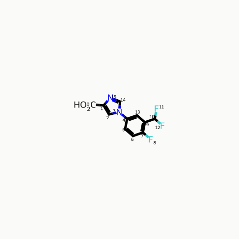 O=C(O)c1cn(-c2ccc(F)c(C(F)F)c2)cn1